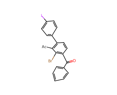 CC(=O)c1c(-c2ccc(I)cc2)ccc(C(=O)c2ccccc2)c1Br